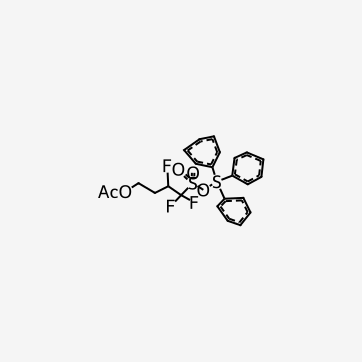 CC(=O)OCCC(F)C(F)(F)S(=O)(=O)OS(c1ccccc1)(c1ccccc1)c1ccccc1